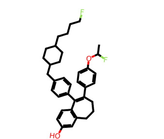 CC(F)Oc1ccc(C2=C(c3ccc(CC4CCC(CCCCF)CC4)cc3)c3ccc(O)cc3CCC2)cc1